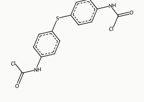 O=C(Cl)Nc1ccc(Sc2ccc(NC(=O)Cl)cc2)cc1